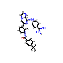 CNC(=N)c1ccc(Nc2nc(-c3cccc(NC(=O)c4ccc(C(C)(C)C)cc4)c3C)cn3ccnc23)cc1